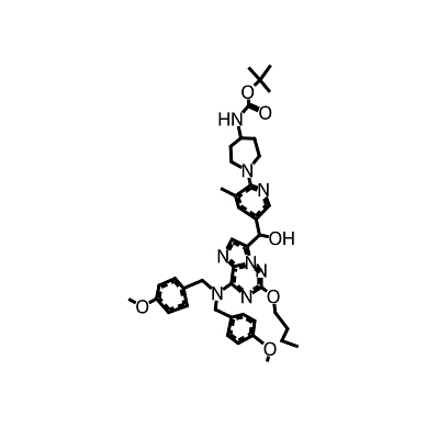 CCCCOc1nc(N(Cc2ccc(OC)cc2)Cc2ccc(OC)cc2)c2ncc(C(O)c3cnc(N4CCC(NC(=O)OC(C)(C)C)CC4)c(C)c3)n2n1